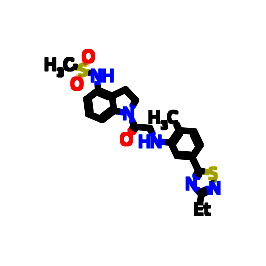 CCc1nsc(-c2ccc(C)c(NCC(=O)N3CCc4c(NS(C)(=O)=O)cccc43)c2)n1